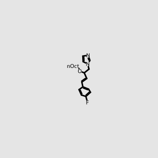 CCCCCCCCOC(C=Cc1ccc(F)cc1)Cn1ccnc1